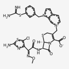 CO/N=C(\C(=O)N[C@@H]1C(=O)N2C(C(=O)[O-])=C(C[n+]3ccc4ccn(Cc5cccc(SC(=N)N)c5)c4c3)CS[C@H]12)c1nc(N)sc1Cl